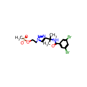 CC(C)(NC(=O)c1cc(Br)cc(Br)c1)c1cn(CCOS(C)(=O)=O)nn1